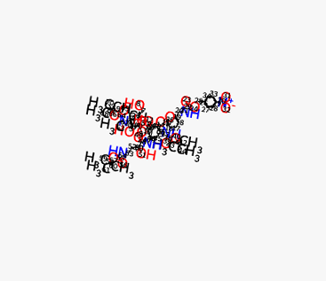 C[C@@H]([C@@H](O)[C@H](OCCO)O[C@@H]1[C@@H](O)[C@H](O[C@@H]2CCC=C(CNC(=O)OCc3ccc([N+](=O)[O-])cc3)O2)[C@@H](NC(=O)OC(C)(C)C)C[C@H]1NC(=O)[C@@H](O)CCNC(=O)OC(C)(C)C)N(C)C(=O)OC(C)(C)C